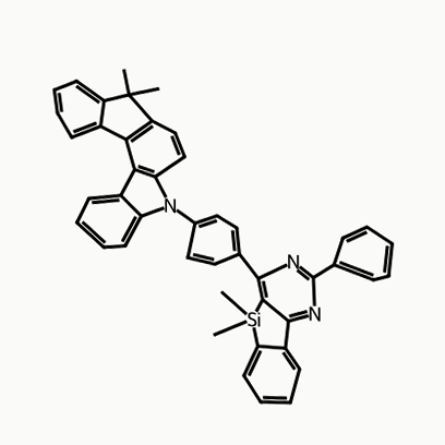 CC1(C)c2ccccc2-c2c1ccc1c2c2ccccc2n1-c1ccc(-c2nc(-c3ccccc3)nc3c2[Si](C)(C)c2ccccc2-3)cc1